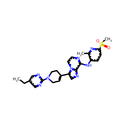 CCc1cnc(N2CC=C(c3cnc4c(Nc5ccc(S(C)(=O)=O)nc5C)nccn34)CC2)nc1